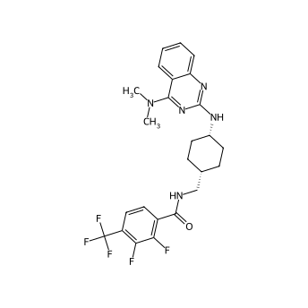 CN(C)c1nc(N[C@H]2CC[C@@H](CNC(=O)c3ccc(C(F)(F)F)c(F)c3F)CC2)nc2ccccc12